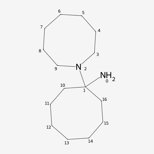 NC1(N2CCCCCCC2)CCCCCCC1